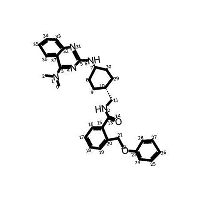 CN(C)c1nc(N[C@H]2CC[C@@H](CNC(=O)c3ccccc3COc3ccccc3)CC2)nc2ccccc12